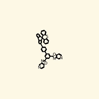 c1ccc2c(c1)Sc1ccccc1C21c2ccccc2-c2ccc(-c3ccc(-c4cc(-c5nc6cnccc6o5)cc(-c5nc6cnccc6o5)c4)cc3)cc21